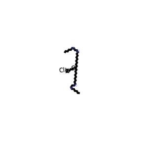 CCCCC/C=C\C/C=C\CCCCCCCCC(CCCCCCCC/C=C\C/C=C\CCCCC)OCCC[N+](C)(C)C.[Cl-]